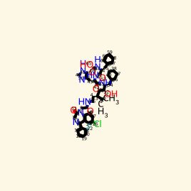 CC(C)[C@@H](CCNC(=O)CN1C(=O)CN=C(c2ccccc2F)c2cc(Cl)ccc21)C[C@H](O)[C@H](CC1CCCCC1)NC(=O)[C@H](Cc1c[nH]cn1)NC(=O)[C@H](Cc1ccccc1)NC(=O)O